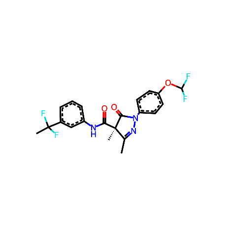 CC1=NN(c2ccc(OC(F)F)cc2)C(=O)[C@]1(C)C(=O)Nc1cccc(C(C)(F)F)c1